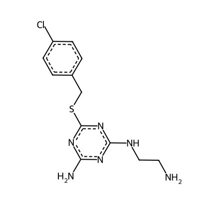 NCCNc1nc(N)nc(SCc2ccc(Cl)cc2)n1